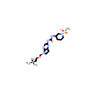 C[Si](C)(C)CCOCn1ccc2nc(NC(=O)NC3CCCN(S(C)(=O)=O)C3)cnc21